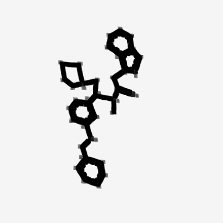 CN(C(=O)Cc1occ2ccccc12)C(CN1CCCC1)c1cccc(OCc2ccccc2)c1